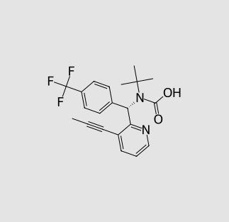 CC#Cc1cccnc1[C@H](c1ccc(C(F)(F)F)cc1)N(C(=O)O)C(C)(C)C